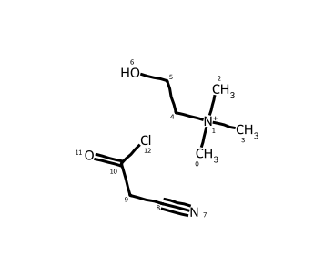 C[N+](C)(C)CCO.N#CCC(=O)Cl